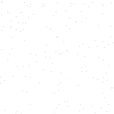 CN(C(=O)NCc1ccccc1Cl)[C@@H](CCCCNC(=O)C(=[N+]=[N-])C(F)(F)F)COC(=O)Nc1cc2ccccc2cn1